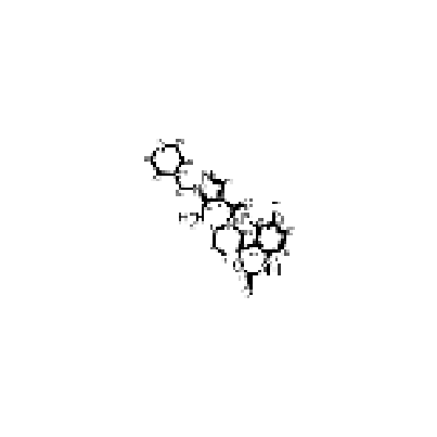 Nc1c(C(=O)N2CCC[C@@]3(C2)OC(=O)Nc2ccc(Cl)c(F)c23)cnn1CC1CCOCC1